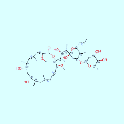 C/C=C/[C@H]1O[C@@](O)([C@@H](C)[C@H](O)[C@H](C)[C@H]2OC(=O)/C(OC)=C/C(C)=C/[C@@H](C)[C@@H](O)C[C@@H](O)[C@H](C)C/C(C)=C/C=C/[C@@H]2OC)C[C@@H](O[C@@H]2C[C@H](O)[C@@H](O)[C@H](C)O2)[C@@H]1C